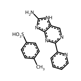 Cc1ccc(S(=O)(=O)O)cc1.Nc1nc2nc(-c3ccccn3)ncc2[nH]1